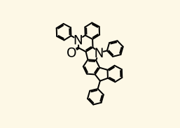 O=c1c2c3ccc4c(c3n(-c3ccccc3)c2c2ccccc2n1-c1ccccc1)-c1ccccc1C4c1ccccc1